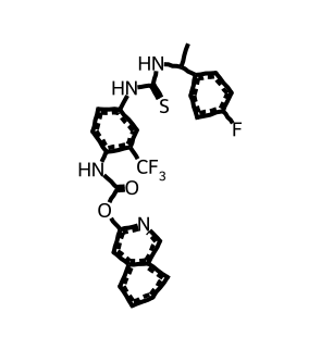 CC(NC(=S)Nc1ccc(NC(=O)Oc2cc3ccccc3cn2)c(C(F)(F)F)c1)c1ccc(F)cc1